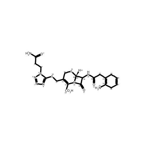 NC(=O)CCn1nnnc1SCC1=C(C(=O)O)N2C(=O)C(NC(=O)CC3=C(N)CC=CC3)[C@H]2SC1